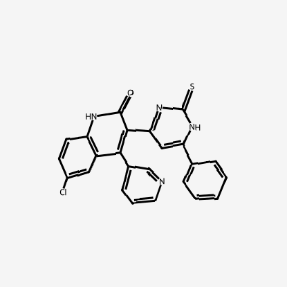 O=c1[nH]c2ccc(Cl)cc2c(-c2cccnc2)c1-c1cc(-c2ccccc2)[nH]c(=S)n1